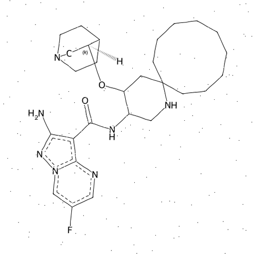 Nc1nn2cc(F)cnc2c1C(=O)NC1CNC2(CCCCCCCCC2)CC1O[C@H]1CN2CCC1CC2